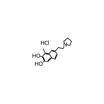 Cc1c(O)c(O)cc2ccc(CCN3CCCC3)cc12.Cl